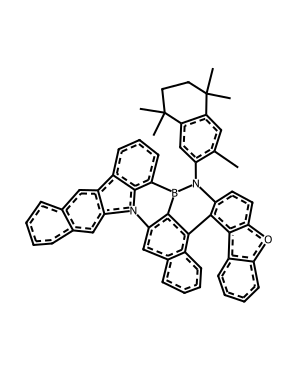 Cc1cc2c(cc1N1B3c4c(cc5ccccc5c4-c4c1ccc1oc5ccccc5c41)-n1c4cc5ccccc5cc4c4cccc3c41)C(C)(C)CCC2(C)C